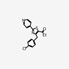 CCC(=O)c1sc(-c2ccncc2)nc1Cc1ccc(Cl)cc1